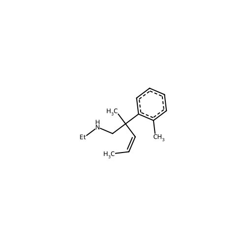 C/C=C\C(C)(CNCC)c1ccccc1C